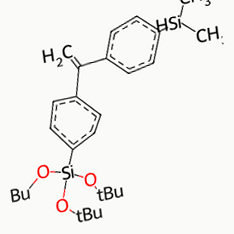 C=C(c1ccc([SiH](C)C)cc1)c1ccc([Si](OC(C)(C)C)(OC(C)(C)C)OC(C)(C)C)cc1